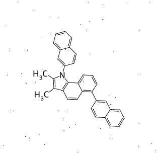 Cc1c(C)n(-c2ccc3ccccc3c2)c2c1ccc1c(-c3ccc4ccccc4c3)cccc12